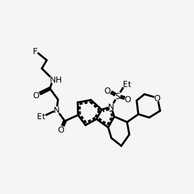 CCN(CC(=O)NCCF)C(=O)c1ccc2c(c1)c1c(n2S(=O)(=O)CC)C(C2CCOCC2)CCC1